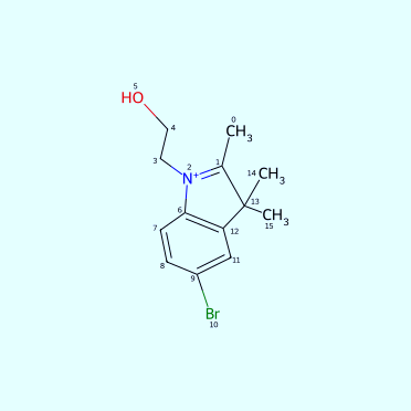 CC1=[N+](CCO)c2ccc(Br)cc2C1(C)C